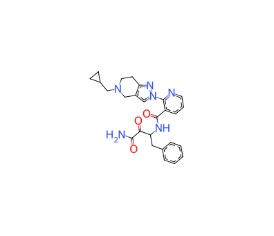 NC(=O)C(=O)C(Cc1ccccc1)NC(=O)c1cccnc1-n1cc2c(n1)CCN(CC1CC1)C2